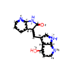 O=C1Nc2ncccc2C1=Cc1c[nH]c2nccc(O)c12